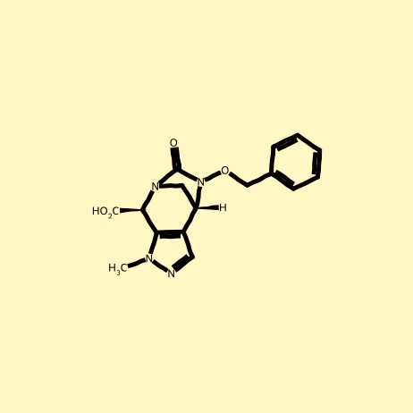 Cn1ncc2c1[C@@H](C(=O)O)N1C[C@@H]2N(OCc2ccccc2)C1=O